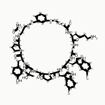 CC(C)(O)[C@@H]1NC(=O)[C@@H]2CCCN2C(=O)[C@H](Cc2c[nH]c3ccc(F)cc23)NC(=O)[C@H](Cc2c[nH]c3ccc(F)cc23)NC(=O)CNC(=O)[C@H](CCCCN)NC(=O)CCSCc2cccc(c2)CSC[C@@H](C(N)=O)NC(=O)[C@]2(C)CCCN2C(=O)[C@H](Cc2ccc(O)cc2)NC1=O